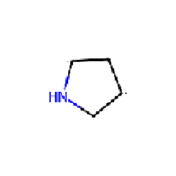 [CH]1C[CH]NC1